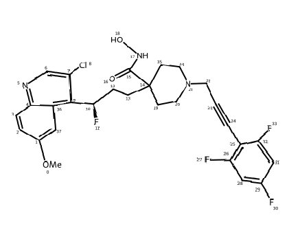 COc1ccc2ncc(Cl)c([C@H](F)CCC3(C(=O)NO)CCN(CC#Cc4c(F)cc(F)cc4F)CC3)c2c1